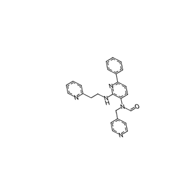 O=CN(Cc1ccncc1)c1ccc(-c2ccccc2)nc1NCCc1ccccn1